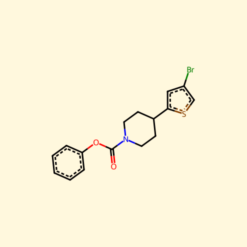 O=C(Oc1ccccc1)N1CCC(c2cc(Br)cs2)CC1